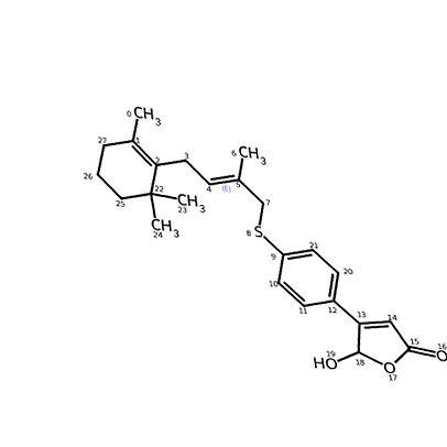 CC1=C(C/C=C(\C)CSc2ccc(C3=CC(=O)OC3O)cc2)C(C)(C)CCC1